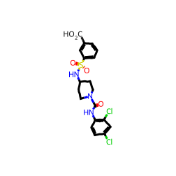 O=C(O)c1cccc(S(=O)(=O)NC2CCN(C(=O)Nc3ccc(Cl)cc3Cl)CC2)c1